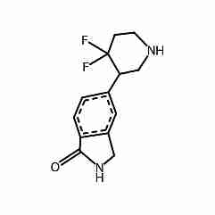 O=C1NCc2cc(C3CNCCC3(F)F)ccc21